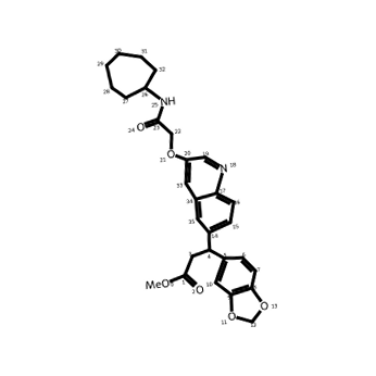 COC(=O)CC(c1ccc2c(c1)OCO2)c1ccc2ncc(OCC(=O)NC3CCCCCC3)cc2c1